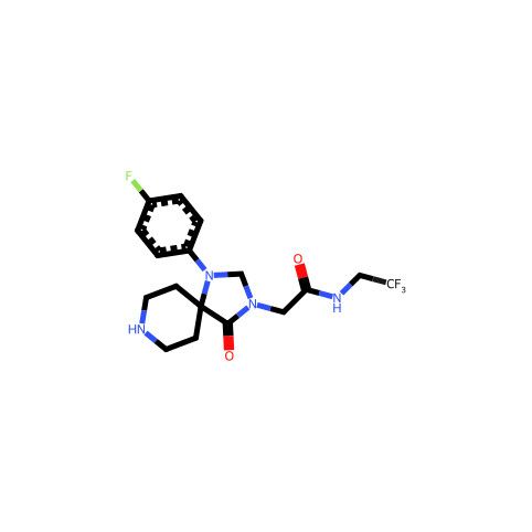 O=C(CN1CN(c2ccc(F)cc2)C2(CCNCC2)C1=O)NCC(F)(F)F